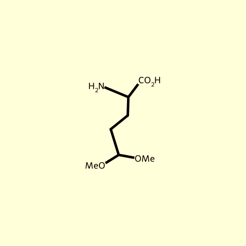 COC(CCC(N)C(=O)O)OC